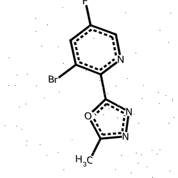 Cc1nnc(-c2ncc(F)cc2Br)o1